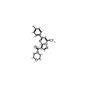 Cc1ccc(-c2cc(C(F)(F)F)n3ncc(C(=O)N4CCOCC4)c3n2)cc1